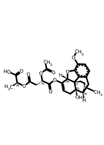 COc1ccc2c3c1O[C@H]1C(OC(=O)[C@H](CC(=O)O[C@@H](C)C(=O)O)OC(C)=O)=CC[C@@]4(O)[C@@H](C2)N(C)CC[C@]314